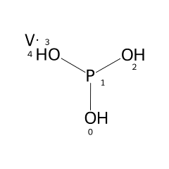 OP(O)O.[V]